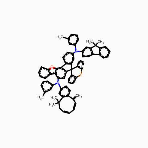 C=C1/C=C\C=C/CC(C)(C)c2cc(N(c3cccc(C)c3)c3cc4c(c5oc6ccccc6c35)-c3ccc(N(c5cccc(C)c5)c5ccc6c(c5)C(C)(C)c5ccccc5-6)cc3C43c4ccccc4Sc4ccccc43)ccc21